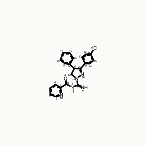 N=C(NC(=O)c1ccccn1)N1CC(c2ccccc2)C(c2ccc(Cl)cc2)=N1